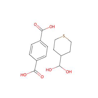 O=C(O)c1ccc(C(=O)O)cc1.OC(O)C1CCSCC1